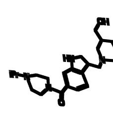 CC(C)N1CCN(C(=O)c2ccc3c(c2)NCC3CN2CCCC(CO)C2)CC1